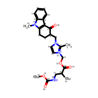 Cc1n(CC2CCc3c(c4ccccc4n3C)C2=O)cc[n+]1COC(=O)C(CNC(=O)OC(C)(C)C)C(C)(C)C